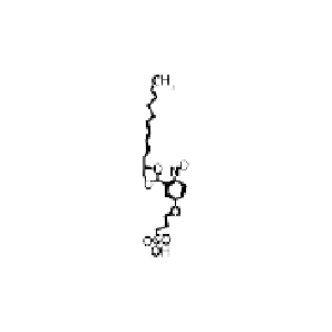 CCCCCCCCCCC1COC(c2cc(OCCCS(=O)(=O)O)ccc2N=O)O1